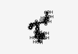 O=C(O)CCC(NC(=O)NC(CCCCNC(=O)C(Cc1ccc2ccccc2c1)NC(=O)C1CCC(NC(=O)C(CC(=O)O)NC(=O)C(CC(=O)O)NC(=O)C(CC(=O)O)NC(=O)CS)CC1)C(=O)O)C(=O)O